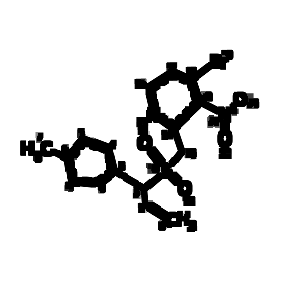 C=CC(c1ccc(C)cc1)S(=O)(=O)Cc1nccc(Br)c1[N+](=O)[O-]